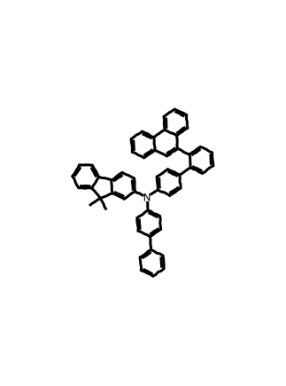 CC1(C)c2ccccc2-c2ccc(N(c3ccc(-c4ccccc4)cc3)c3ccc(-c4ccccc4-c4cc5ccccc5c5ccccc45)cc3)cc21